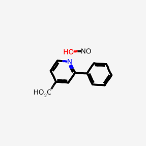 O=C(O)c1ccnc(-c2ccccc2)c1.O=NO